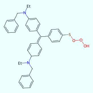 CCN(Cc1ccccc1)c1ccc(C(=C2C=CC(N(CC)Cc3ccccc3)C=C2)c2ccc(SOOO)cc2)cc1